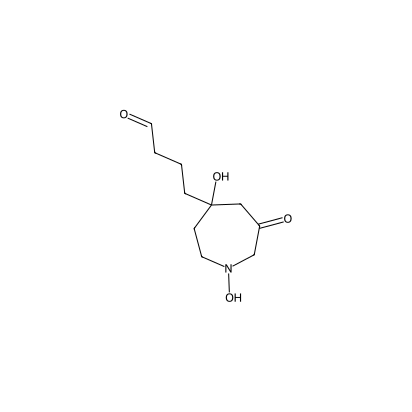 O=CCCCC1(O)CCN(O)CC(=O)C1